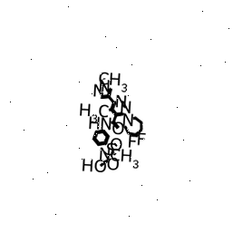 Cc1c(-c2cnn(C)c2)nnc(N2CCCC(F)(F)CC2)c1C(=O)Nc1cccc(S(C)(=O)=NC(=O)O)c1